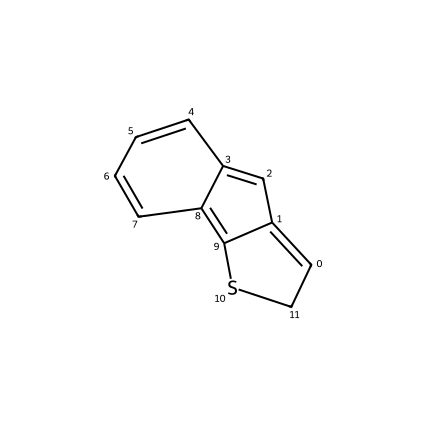 C1=C2C=c3ccccc3=C2SC1